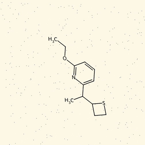 CCOc1cccc(C(C)C2CCS2)n1